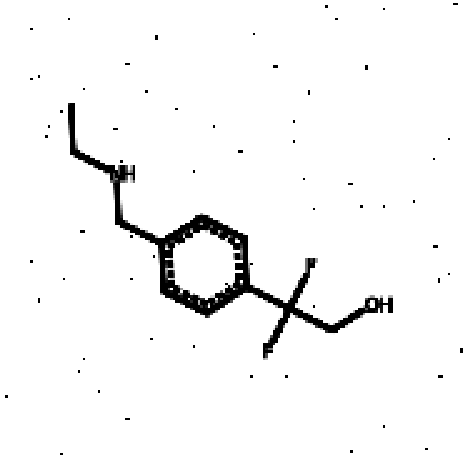 CCNCc1ccc(C(F)(F)CO)cc1